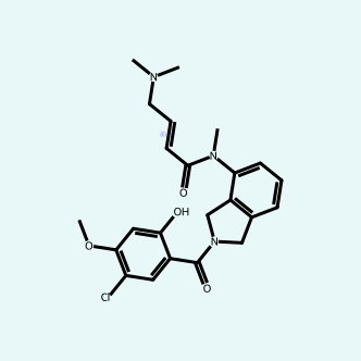 COc1cc(O)c(C(=O)N2Cc3cccc(N(C)C(=O)/C=C/CN(C)C)c3C2)cc1Cl